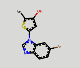 CC(=O)c1sc(-n2cnc3ccc(Br)cc32)cc1O